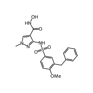 COc1ccc(S(=O)(=O)Nc2nn(C)cc2C(=O)NO)cc1Cc1ccccc1